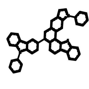 c1ccc(-n2ccc3cc4cc(-c5ccc6c(c5)c5ccccc5n6-c5ccccc5)c5ccc6c7ccccc7sc6c5c4cc32)cc1